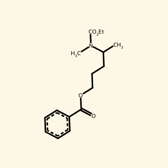 CCOC(=O)N(C)C(C)CCCOC(=O)c1ccccc1